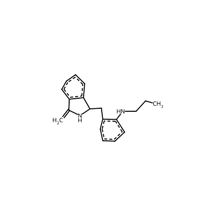 C=C1NC(Cc2ccccc2NCCC)c2ccccc21